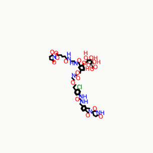 CN(CCOCCc1ccc(NC(=O)NCc2ccc3c(c2)CN(C2CCC(=O)NC2=O)C3=O)cc1Cl)C(=O)OCc1ccc(O[C@@H]2O[C@H](C(=O)O)[C@@H](O)[C@H](O)[C@H]2O)c(C(=O)NCCNC(=O)CCCC(=O)ON2C(=O)CCC2=O)c1